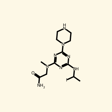 CC(I)Bc1nc(N(C)CC(N)=O)nc(N2CCNCC2)n1